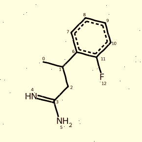 CC(CC(=N)N)c1ccccc1F